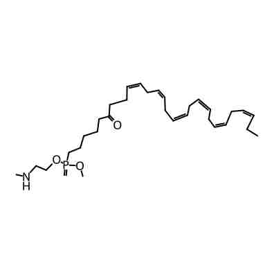 C=P(CCCCCC(=O)CC/C=C\C/C=C\C/C=C\C/C=C\C/C=C\C/C=C\CC)(OC)OCCNC